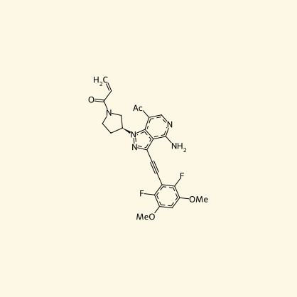 C=CC(=O)N1CC[C@H](n2nc(C#Cc3c(F)c(OC)cc(OC)c3F)c3c(N)ncc(C(C)=O)c32)C1